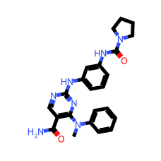 CN(c1ccccc1)c1nc(Nc2cccc(NC(=O)N3CCCC3)c2)ncc1C(N)=O